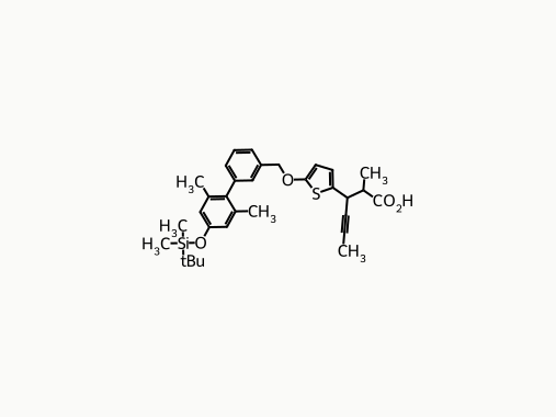 CC#CC(c1ccc(OCc2cccc(-c3c(C)cc(O[Si](C)(C)C(C)(C)C)cc3C)c2)s1)C(C)C(=O)O